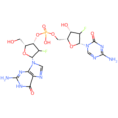 Nc1ncn([C@@H]2O[C@H](COP(=O)(O)O[C@@H]3C(F)[C@H](n4cnc5c(=O)[nH]c(N)nc54)O[C@@H]3CO)[C@H](O)C2F)c(=O)n1